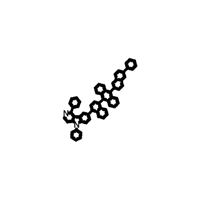 c1ccc(-c2ccc3cc(-c4c5ccccc5c(-c5ccc(-c6ccc7c(c6)c6c(-c8ccccc8)nccc6n7-c6ccccc6)c6ccccc56)c5ccccc45)ccc3c2)cc1